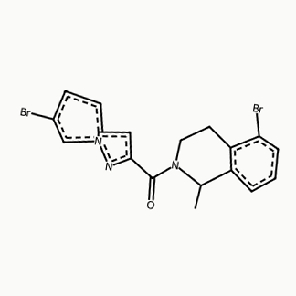 CC1c2cccc(Br)c2CCN1C(=O)c1cc2ccc(Br)cn2n1